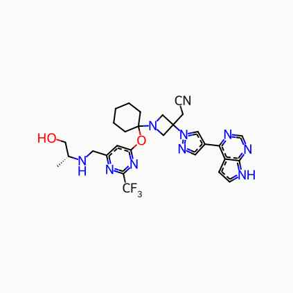 C[C@H](CO)NCc1cc(OC2(N3CC(CC#N)(n4cc(-c5ncnc6[nH]ccc56)cn4)C3)CCCCC2)nc(C(F)(F)F)n1